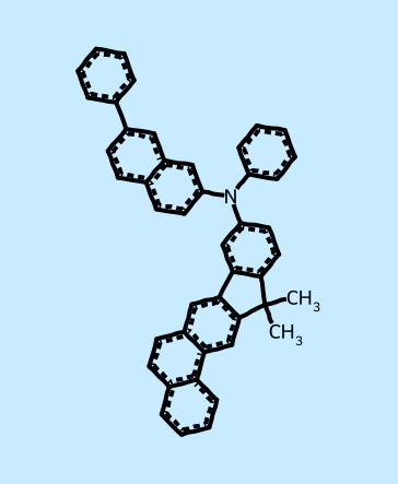 CC1(C)c2ccc(N(c3ccccc3)c3ccc4ccc(-c5ccccc5)cc4c3)cc2-c2cc3ccc4ccccc4c3cc21